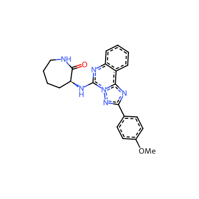 COc1ccc(-c2nc3c4ccccc4nc(N[C@H]4CCCCNC4=O)n3n2)cc1